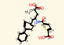 C[C@H](CC(Cc1ccc(-c2ccccc2)cc1)NC(=O)c1ccc(C(=O)O)s1)C(=O)O